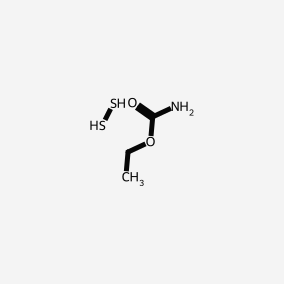 CCOC(N)=O.SS